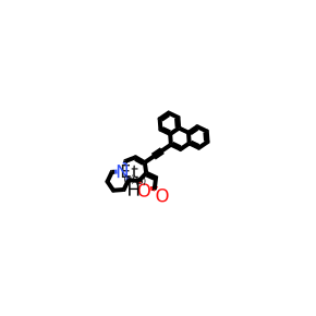 CC[C@]12OC(=O)C=C1C(C#Cc1cc3ccccc3c3ccccc13)=CCN1CCCC[C@@H]12